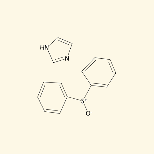 [O-][S+](c1ccccc1)c1ccccc1.c1c[nH]cn1